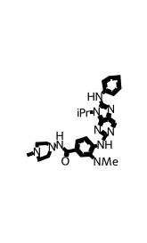 CNc1cc(C(=O)NN2CCN(C)CC2)ccc1Nc1ncc2nc(Nc3ccccc3)n(C(C)C)c2n1